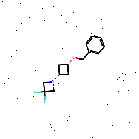 FC1(F)CN([C@H]2C[C@@H](OCc3ccccc3)C2)C1